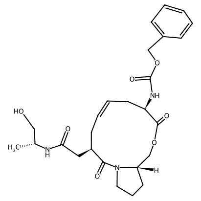 C[C@H](CO)NC(=O)C[C@H]1C/C=C\C[C@@H](NC(=O)OCc2ccccc2)C(=O)OC[C@@H]2CCCN2C1=O